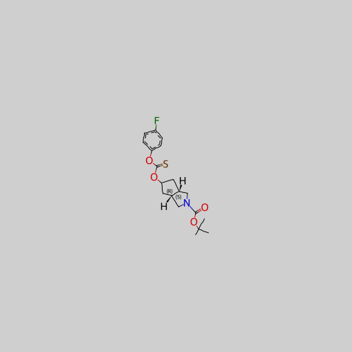 CC(C)(C)OC(=O)N1C[C@H]2CC(OC(=S)Oc3ccc(F)cc3)C[C@H]2C1